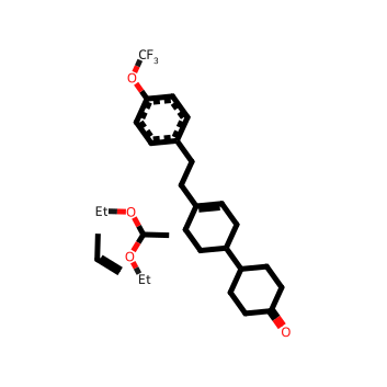 C=CC.CCOC(C)OCC.O=C1CCC(C2CC=C(CCc3ccc(OC(F)(F)F)cc3)CC2)CC1